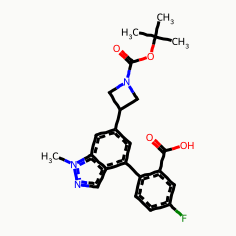 Cn1ncc2c(-c3ccc(F)cc3C(=O)O)cc(C3CN(C(=O)OC(C)(C)C)C3)cc21